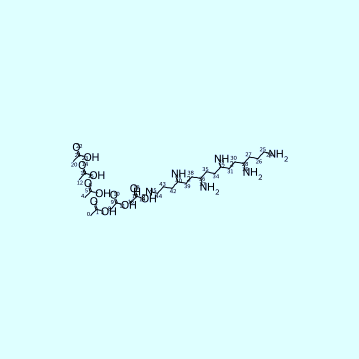 CC(=O)O.CC(=O)O.CC(=O)O.CC(=O)O.CC(=O)O.CC(=O)O.NCCCC(N)CCC(N)CCC(N)CCC(N)CCCN